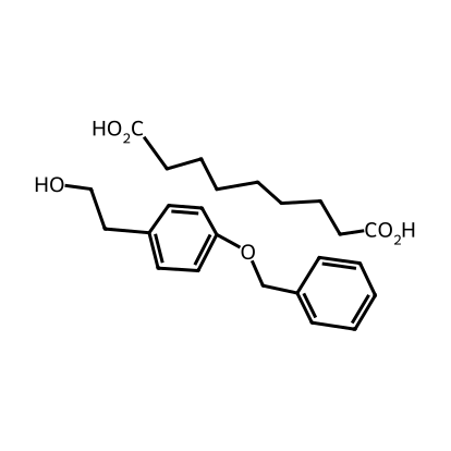 O=C(O)CCCCCCCC(=O)O.OCCc1ccc(OCc2ccccc2)cc1